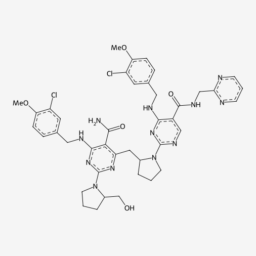 COc1ccc(CNc2nc(N3CCCC3Cc3nc(N4CCCC4CO)nc(NCc4ccc(OC)c(Cl)c4)c3C(N)=O)ncc2C(=O)NCc2ncccn2)cc1Cl